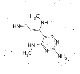 CN/C(=C\C=N)c1cnc(N)nc1NC